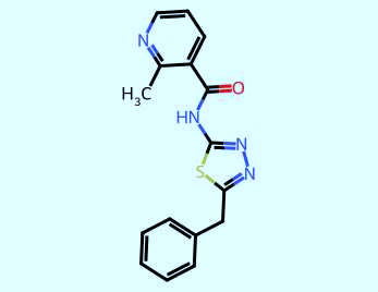 Cc1ncccc1C(=O)Nc1nnc(Cc2ccccc2)s1